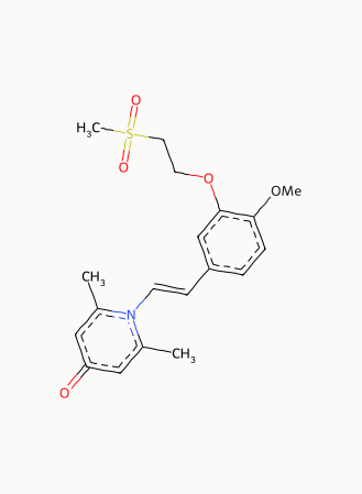 COc1ccc(/C=C/n2c(C)cc(=O)cc2C)cc1OCCS(C)(=O)=O